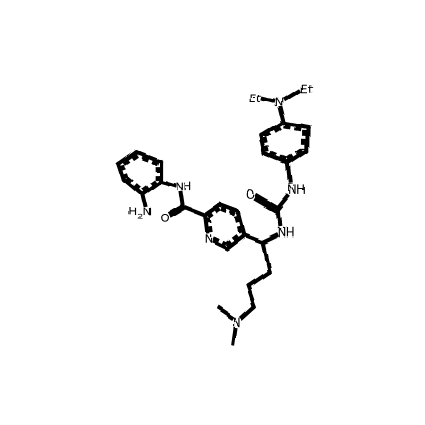 CCN(CC)c1ccc(NC(=O)NC(CCCN(C)C)c2ccc(C(=O)Nc3ccccc3N)nc2)cc1